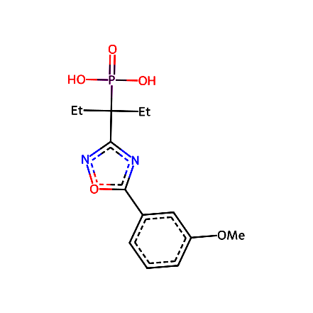 CCC(CC)(c1noc(-c2cccc(OC)c2)n1)P(=O)(O)O